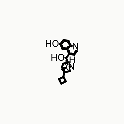 Oc1ccc2nccc([C@H](O)[C@H]3CC4CCN3CC4C3CCC3)c2c1